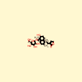 C=C1CC[C@@H]2[C@](C)(CO[C@@H]3O[C@H](CO)[C@@H](O)[C@H](O)[C@H]3O)[C@H](O)CC[C@@]2(C)[C@@H]1CCC1=CCOC1=O